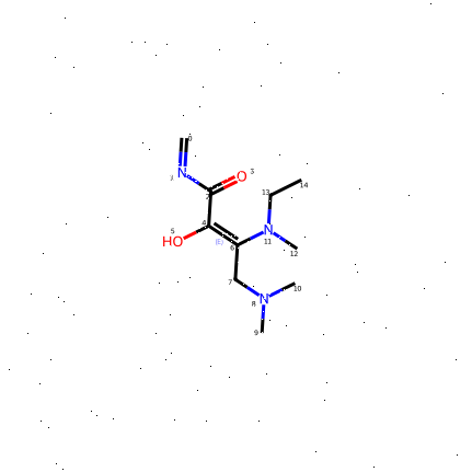 C=NC(=O)/C(O)=C(/CN(C)C)N(C)CC